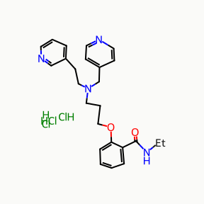 CCNC(=O)c1ccccc1OCCCN(CCc1cccnc1)Cc1ccncc1.Cl.Cl.Cl